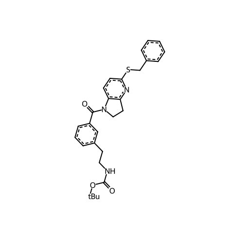 CC(C)(C)OC(=O)NCCc1cccc(C(=O)N2CCc3nc(SCc4ccccc4)ccc32)c1